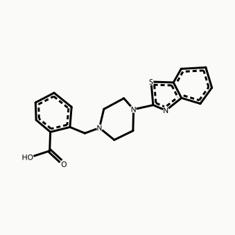 O=C(O)c1ccccc1CN1CCN(c2nc3ccccc3s2)CC1